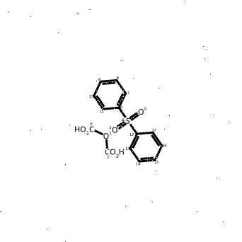 O=C(O)OC(=O)O.O=S(=O)(c1ccccc1)c1ccccc1